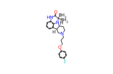 BC1(B)C(=O)Nc2cccc3c2N1[C@H]1CCN(CCCOc2ccc(F)cc2)C[C@@H]31